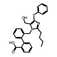 CCCCc1nc(Sc2ccccc2)c(CO)n1Cc1ccccc1-c1ccccc1C(=O)O